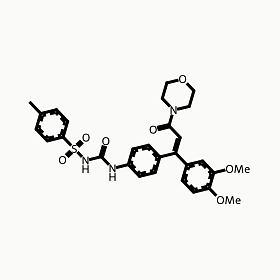 COc1ccc(C(=CC(=O)N2CCOCC2)c2ccc(NC(=O)NS(=O)(=O)c3ccc(C)cc3)cc2)cc1OC